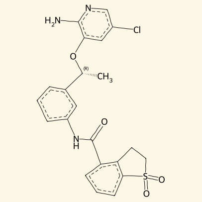 C[C@@H](Oc1cc(Cl)cnc1N)c1cccc(NC(=O)c2cccc3c2CCS3(=O)=O)c1